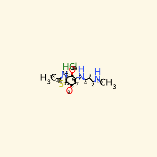 CNCCCNC1=CC(=O)c2sc(C)nc2C1=O.Cl